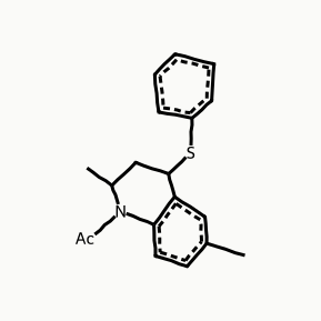 CC(=O)N1c2ccc(C)cc2C(Sc2ccccc2)CC1C